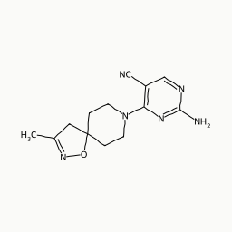 CC1=NOC2(CCN(c3nc(N)ncc3C#N)CC2)C1